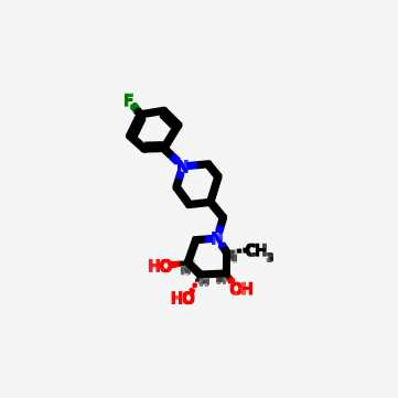 C[C@@H]1[C@@H](O)[C@H](O)[C@@H](O)CN1CC1CCN(c2ccc(F)cc2)CC1